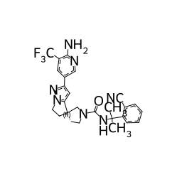 CC(C)(NC(=O)N1CC[C@@]2(CCn3nc(-c4cnc(N)c(C(F)(F)F)c4)cc32)C1)c1ccccc1C#N